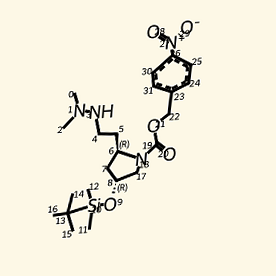 CN(C)NCC[C@@H]1C[C@@H](O[Si](C)(C)C(C)(C)C)CN1C(=O)OCc1ccc([N+](=O)[O-])cc1